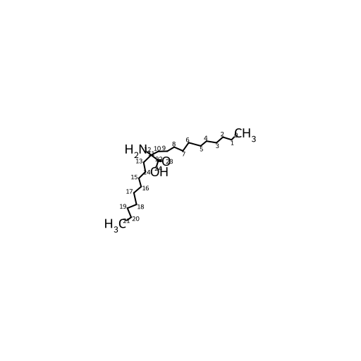 CCCCCCCCCCCC(N)(CCCCCCCCC)C(=O)O